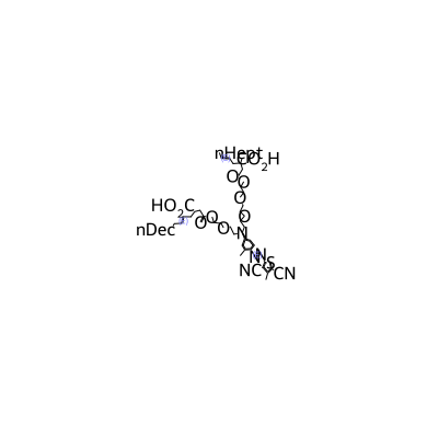 CCCCCCC/C=C/CC(CC(=O)OCCOCCOCCN(CCOCCOC(=O)CC(C/C=C/CCCCCCCCCCC)C(=O)O)c1ccc(/N=N/c2sc(C#N)c(C)c2C#N)c(C)c1)C(=O)O